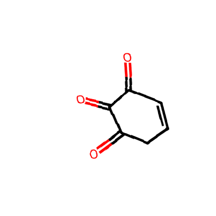 O=C1C=CCC(=O)C1=O